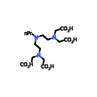 CCCN(CCN(CC(=O)O)CC(=O)O)CCN(CC(=O)O)CC(=O)O